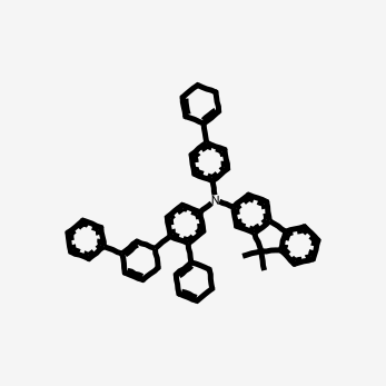 CC1(C)c2ccccc2-c2ccc(N(c3ccc(C4=CCCC=C4)cc3)c3ccc(C4C=C(c5ccccc5)C=CC4)c(C4=CC=CCC4)c3)cc21